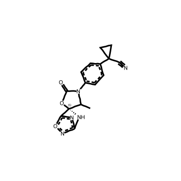 CC1N(c2ccc(C3(C#N)CC3)cc2)C(=O)O[C@@]12Nc1noc2n1